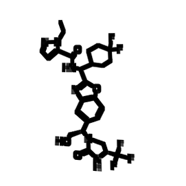 CCn1nccc1C(=O)N[C@H](c1nc2cc([C@H](CO)N3C[C@@H](C(F)(F)F)NC3=O)ccc2o1)C1CCC(F)(F)CC1